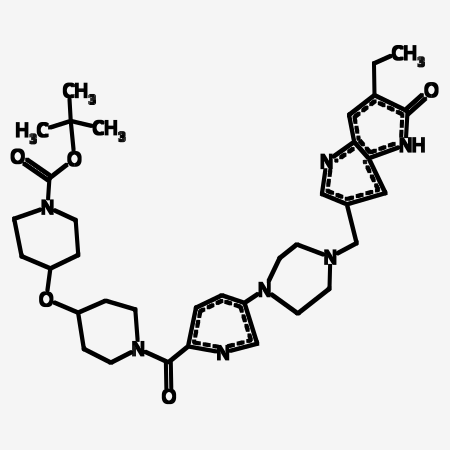 CCc1cc2ncc(CN3CCN(c4ccc(C(=O)N5CCC(OC6CCN(C(=O)OC(C)(C)C)CC6)CC5)nc4)CC3)cc2[nH]c1=O